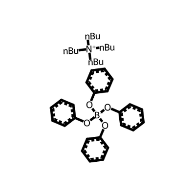 CCCC[N+](CCCC)(CCCC)CCCC.c1ccc(O[B-](Oc2ccccc2)(Oc2ccccc2)Oc2ccccc2)cc1